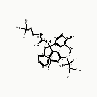 COc1cc(C(Cc2ccccc2)(NC(=O)NCCC(F)(F)F)c2cc(F)cc(OC(F)(F)C(F)F)c2)ccc1F